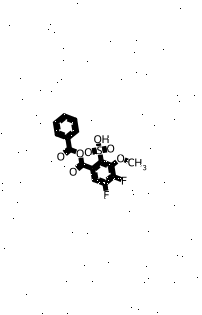 COc1c(F)c(F)cc(C(=O)OC(=O)c2ccccc2)c1S(=O)(=O)O